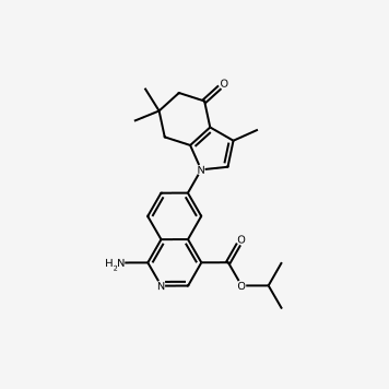 Cc1cn(-c2ccc3c(N)ncc(C(=O)OC(C)C)c3c2)c2c1C(=O)CC(C)(C)C2